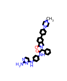 CN1CCN(c2ccc(-c3ccc4c(c3)CN([C@@H](C(=O)Nc3ccc(Nc5ccnc(N)n5)cc3)c3ccccc3)C4=O)cc2)CC1